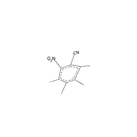 Cc1c(C)c(C)c([N+](=O)[O-])c(C#N)c1C